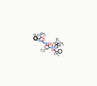 C[C@H](C(=O)N1C[C@H]2[C@@H]([C@H]1C(=O)N[C@@H](CCC(F)(F)F)C(=O)C(=O)NCC(=O)N[C@H](C(=O)N(C)C)c1ccccc1)C2(C)C)C1CCCCC1